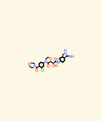 N=C1NCc2cc(NC(=O)[C@H](O)[C@H]3OCCN(c4ccc(C(=O)N5CCOCC5)c(Cl)c4)C3=O)ccc21